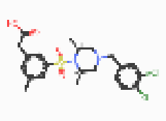 Cc1cc(CC(=O)O)cc(S(=O)(=O)N2[C@H](C)CN(Cc3ccc(Cl)c(Cl)c3)C[C@@H]2C)c1